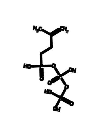 C=C(C)CCP(=O)(O)OP(=O)(O)OP(=O)(O)O